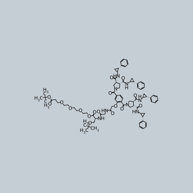 CC(C)(C)OC[C@H](NC(=O)CNC(=O)COc1cc(C(=O)N2C[C@@H](C(=O)N[C@H]3C[C@@H]3c3ccccc3)[C@H](C(=O)N[C@H]3C[C@@H]3c3ccccc3)C2)ccc1C(=O)N1C[C@@H](C(=O)N[C@H]2C[C@@H]2c2ccccc2)[C@H](C(=O)N[C@H]2C[C@@H]2c2ccccc2)C1)C(=O)OCCOCCOCCOCCC(=O)OC(C)(C)C